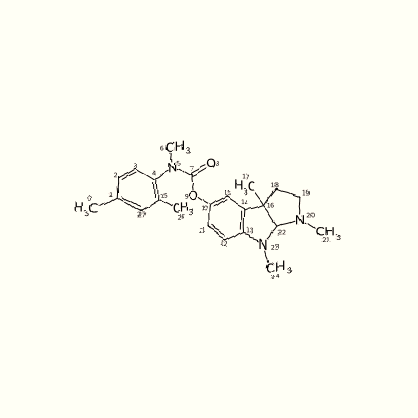 Cc1ccc(N(C)C(=O)Oc2ccc3c(c2)C2(C)CCN(C)C2N3C)c(C)c1